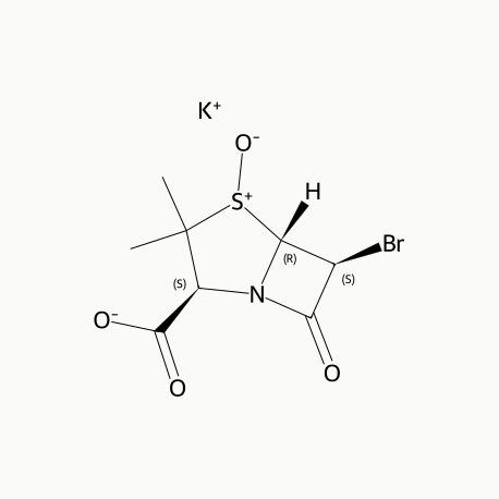 CC1(C)[C@H](C(=O)[O-])N2C(=O)[C@H](Br)[C@H]2[S+]1[O-].[K+]